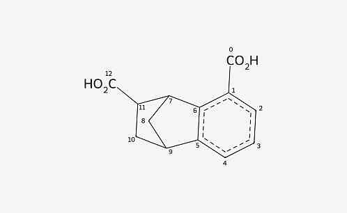 O=C(O)c1cccc2c1C1CC2CC1C(=O)O